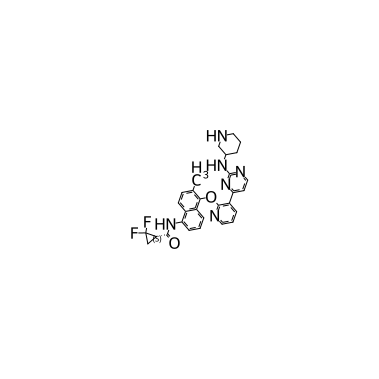 Cc1ccc2c(NC(=O)[C@@H]3CC3(F)F)cccc2c1Oc1ncccc1-c1ccnc(NC2CCCNC2)n1